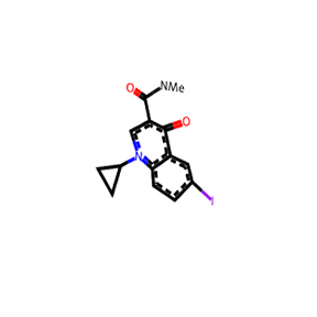 [CH2]NC(=O)c1cn(C2CC2)c2ccc(I)cc2c1=O